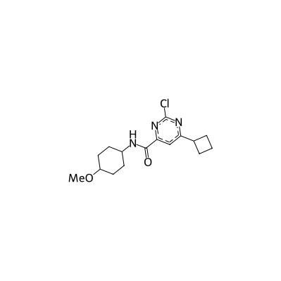 COC1CCC(NC(=O)c2cc(C3CCC3)nc(Cl)n2)CC1